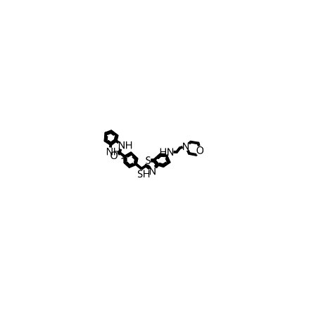 Nc1ccccc1NC(=O)c1ccc(C(S)c2nc3ccc(NCCN4CCOCC4)cc3s2)cc1